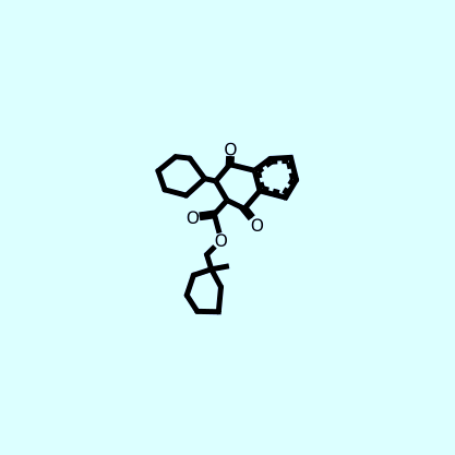 CC1(COC(=O)C2C(=O)c3ccccc3C(=O)C2C2CCCCC2)CCCCC1